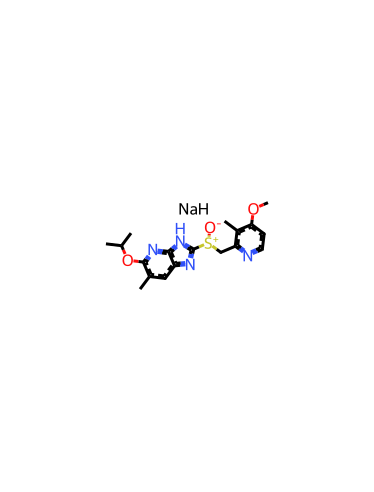 COc1ccnc(C[S+]([O-])c2nc3cc(C)c(OC(C)C)nc3[nH]2)c1C.[NaH]